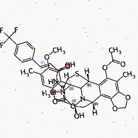 COc1c(C)cc2c(c1O)[C@H]1C3[C@@H]4SC[C@H](NC(=O)/C=C/c5ccc(C(F)(F)F)cc5)C(=O)OC[C@@H](c5c6c(c(C)c(OC(C)=O)c54)OCO6)N3[C@@H](O)C(C2)N1C